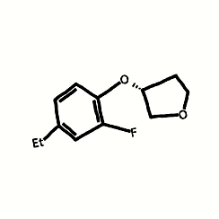 CCc1ccc(O[C@@H]2CCOC2)c(F)c1